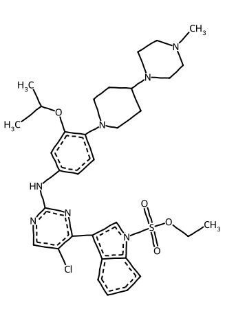 CCOS(=O)(=O)n1cc(-c2nc(Nc3ccc(N4CCC(N5CCN(C)CC5)CC4)c(OC(C)C)c3)ncc2Cl)c2ccccc21